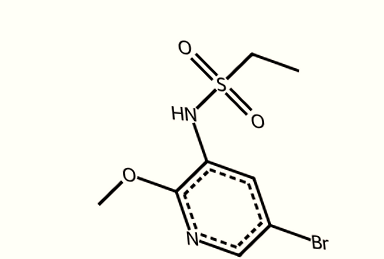 CCS(=O)(=O)Nc1cc(Br)cnc1OC